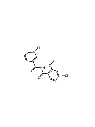 COc1cc(Cl)ccc1C(=O)NC(=O)C1=CN(Cl)CC=C1